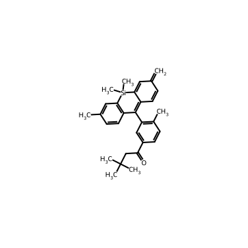 C=c1ccc2c(c1)[Si](C)(C)c1cc(C)ccc1C=2c1cc(C(=O)CC(C)(C)C)ccc1C